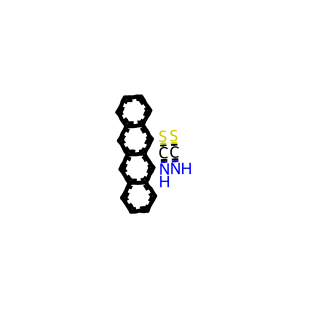 N=C=S.N=C=S.c1ccc2cc3cc4ccccc4cc3cc2c1